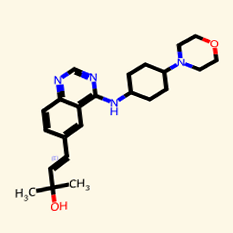 CC(C)(O)/C=C/c1ccc2ncnc(NC3CCC(N4CCOCC4)CC3)c2c1